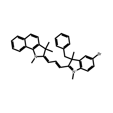 CN1/C(=C/C=C/C2=[N+](C)c3ccc(Br)cc3C2(C)Cc2ccccc2)C(C)(C)c2ccc3ccccc3c21